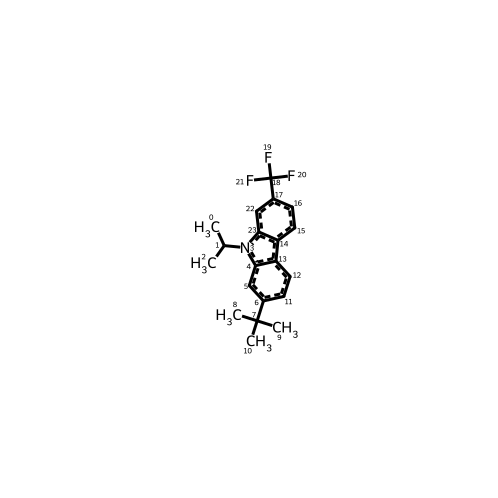 CC(C)n1c2cc(C(C)(C)C)ccc2c2ccc(C(F)(F)F)cc21